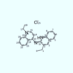 CCc1cc2ccccc2[nH]c1=Nc1cc[n+](CC)c2ccccc12.[Cl-]